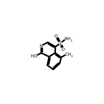 Cc1cccc2c(O)ncc(S(N)(=O)=O)c12